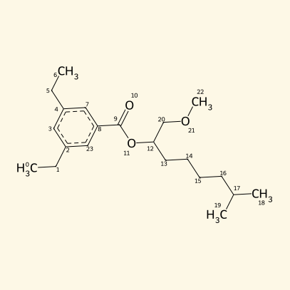 CCc1cc(CC)cc(C(=O)OC(CCCCC(C)C)COC)c1